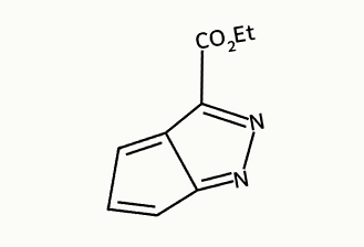 CCOC(=O)C1=NN=C2C=CC=C21